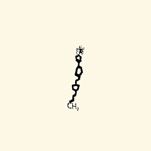 CCCCCC1CCC(CCC2CCC(c3ccc(OC(F)C(F)(F)F)cc3)CC2)CC1